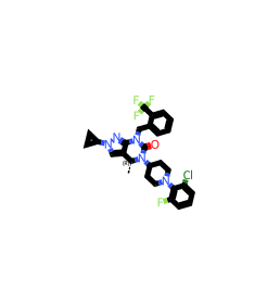 C[C@@H]1c2cn(C3CC3)nc2N(Cc2ccccc2C(F)(F)F)C(=O)N1C1CCN(c2c(F)cccc2Cl)CC1